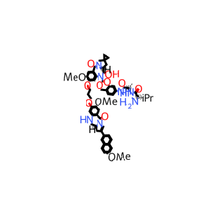 COc1ccc2cc(C3=CN4C(=O)c5cc(OC)c(OCCCOc6cc7c(cc6OC)C(=O)N6CC8(CC8)C[C@H]6C(O)N7C(=O)OCc6ccc(NC(=O)[C@H](C)NC(=O)[C@@H](N)C(C)C)cc6)cc5NC[C@@H]4C3)ccc2c1